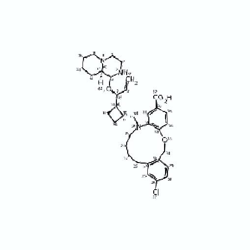 C=C[C@H](OC1NCCN2CCCC[C@H]12)[C@@H]1CC[C@H]1CN1CCCCc2cc(Cl)ccc2COc2ccc(C(=O)O)cc21